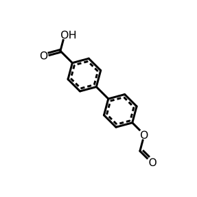 O=COc1ccc(-c2ccc(C(=O)O)cc2)cc1